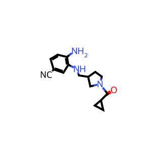 N#Cc1ccc(N)c(NCC2CCN(C(=O)C3CC3)C2)c1